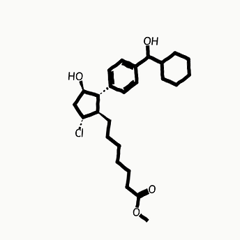 COC(=O)CCCCCC[C@@H]1[C@@H](c2ccc(C(O)C3CCCCC3)cc2)[C@H](O)C[C@H]1Cl